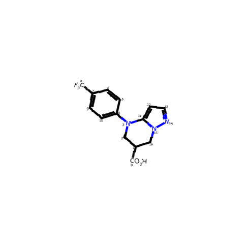 O=C(O)C1CN(c2ccc(C(F)(F)F)cc2)c2ccnn2C1